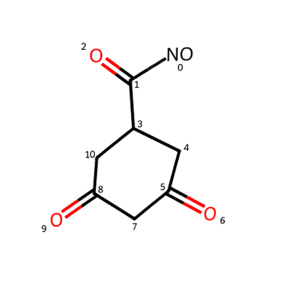 O=NC(=O)C1CC(=O)CC(=O)C1